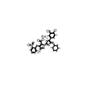 COC(=O)c1c(Cc2ccccc2[N+](=O)[O-])c(C)nn1-c1nc(-c2ccc(Cl)c(Cl)c2)c(SC2CCCCC2)s1